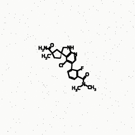 CN(C)C(=O)c1cccc(-c2cnc3c(c2Cl)[C@]2(CC[C@@](C)(C(N)=O)C2)CN3)c1F